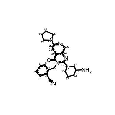 N#Cc1ccccc1Cn1c(N2CCCC(N)C2)nc2cnc(N3CCCC3)cc2c1=O